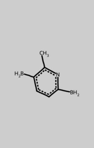 Bc1ccc(B)c(C)n1